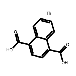 O=C(O)c1ccc(C(=O)O)c2ccccc12.[Th]